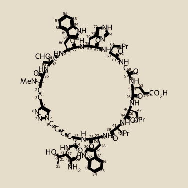 CN[C@H]1CCc2cn(nn2)CCCC[C@@H](C(=O)N[C@H](C(N)=O)[C@@H](C)O)NC(=O)[C@H](Cc2c[nH]c3ccccc23)NC(=O)[C@H](C(C)C)NC(=O)[C@H](CC(C)C)NC(=O)[C@H](CCC(=O)O)NC(=O)CNC(=O)[C@H](CC(C)C)NC(=O)[C@H](Cc2c[nH]cn2)NC(=O)[C@H](Cc2c[nH]c3ccccc23)NC[C@@](C)(C=O)NC1=O